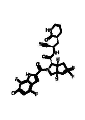 N#C[C@@H](C[C@H]1CCCNC1=O)NC(=O)[C@@H]1[C@@H]2CC(F)(F)C[C@@H]2CN1C(=O)c1cc2c(F)cc(Cl)c(F)c2[nH]1